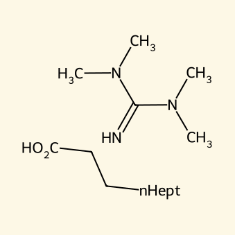 CCCCCCCCCC(=O)O.CN(C)C(=N)N(C)C